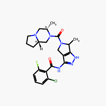 CC1c2[nH]nc(NC(=O)c3c(F)cccc3Cl)c2CN1C(=O)N1C[C@@H]2CCCN2C[C@@H]1C